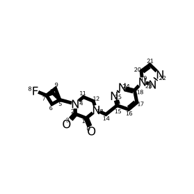 O=C1C(=O)N(C23CC(F)(C2)C3)CCN1Cc1ccc(-n2ccnn2)nn1